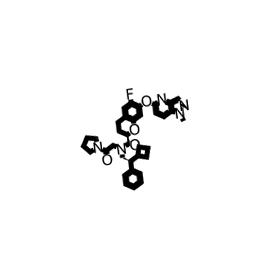 Cn1ncc2nc(Oc3cc4c(cc3F)CC[C@H](C(=O)N(CC(=O)N3CCCC3)C[C@@H](c3ccccc3)C3CCC3)O4)ccc21